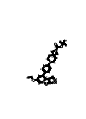 CCOc1cc(-c2ccc(N3CCC4(CC3)CN(C(=O)OC(C)(C)C)C4)nc2)c2c3cn[nH]c3nn2c1